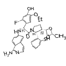 CCOc1cc([C@@H](Nc2ccc3c(N)nccc3c2)C(=O)N2CC[C@H](C3OC(C)O3)[C@@H]2c2ccccc2S)c(F)cc1O